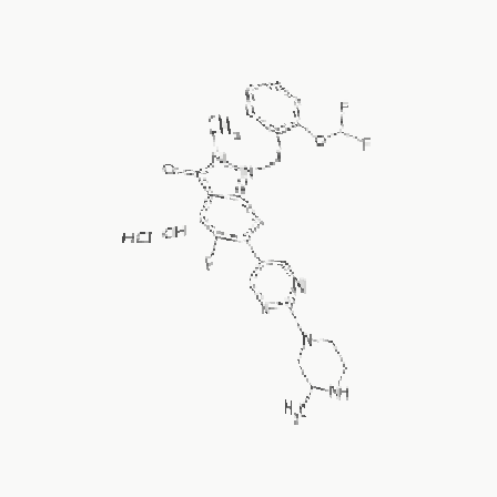 CC1CN(c2ncc(-c3cc4c(cc3F)c(=O)n(C)n4Cc3ccccc3OC(F)F)cn2)CCN1.Cl.Cl